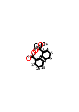 O=C([O-])C1=CCCCC1.O=C([O-])C1=CCCCC1.[Cd+2]